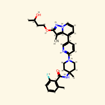 Cc1cccc(F)c1C(=O)NC1(C)CCN(c2ccc(-c3cccn4nc(OCCC(C)O)c(C#N)c34)cn2)CC1